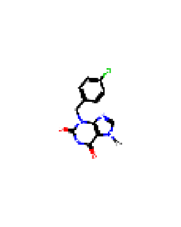 CCn1cnc2c1c(=O)[nH]c(=O)n2Cc1ccc(Cl)cc1